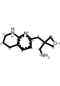 NCC1(Cc2ccc3c(n2)NCCC3)COC1